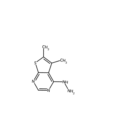 Cc1sc2ncnc(NN)c2c1C